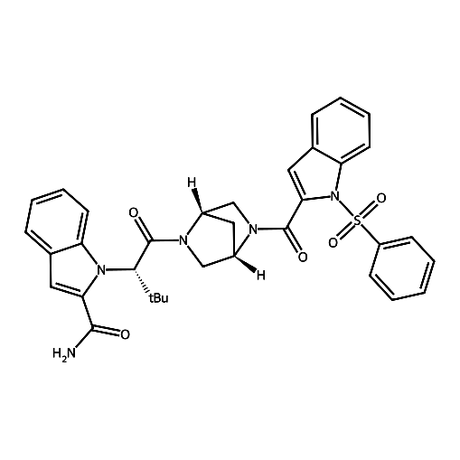 CC(C)(C)[C@@H](C(=O)N1C[C@@H]2C[C@H]1CN2C(=O)c1cc2ccccc2n1S(=O)(=O)c1ccccc1)n1c(C(N)=O)cc2ccccc21